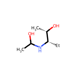 CC[C@H](NC(C)O)[C@H](C)O